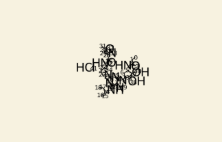 CCC(=O)N[C@H]1C[C@@H](n2cnc3c(NC(CC)CC)nc(N4CC[C@@H](NC(=O)c5cc(C)on5)C4)nc32)[C@H](O)[C@@H]1O.Cl